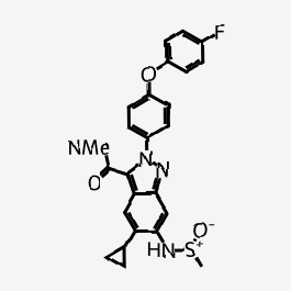 CNC(=O)c1c2cc(C3CC3)c(N[S+](C)[O-])cc2nn1-c1ccc(Oc2ccc(F)cc2)cc1